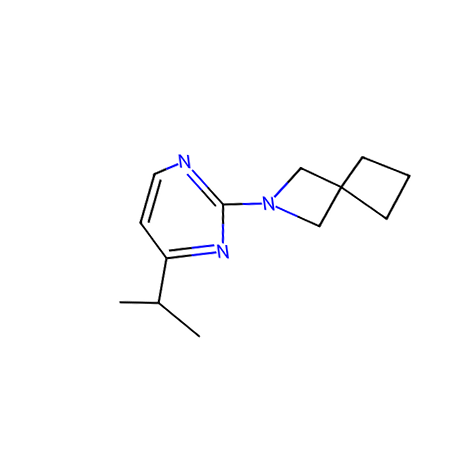 CC(C)c1ccnc(N2CC3(CCC3)C2)n1